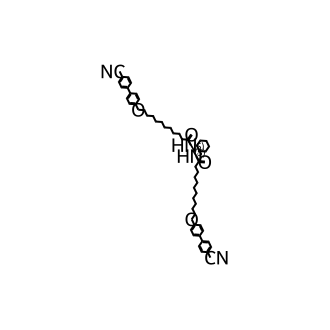 N#Cc1ccc(-c2ccc(OCCCCCCCCCCC(=O)N[C@H]3CCCC[C@@H]3NC(=O)CCCCCCCCCCOc3ccc(-c4ccc(C#N)cc4)cc3)cc2)cc1